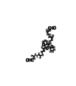 CC(=CC=O)CCC=C(C)CCC=C(C)C(OC(C(C)=CCCC(C)=CCCC(C)=CC=O)C1CCCCO1)C1CCCCO1